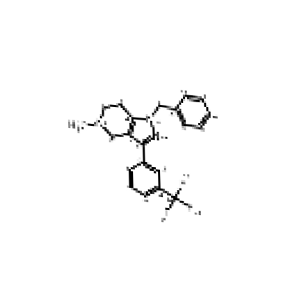 CN1CCc2c(c(-c3cccc(C(F)(F)F)c3)nn2Cc2ccccc2)C1